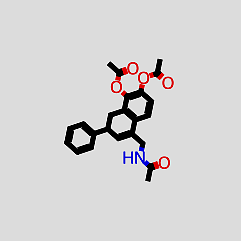 CC(=O)NCC1=CC(c2ccccc2)Cc2c1ccc(OC(C)=O)c2OC(C)=O